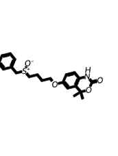 CC1(C)OC(=O)Nc2ccc(OCCCC[S+]([O-])Cc3ccccc3)cc21